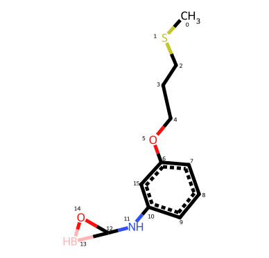 CSCCCOc1cccc(NC2BO2)c1